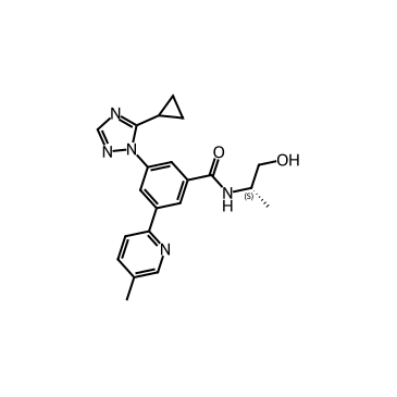 Cc1ccc(-c2cc(C(=O)N[C@@H](C)CO)cc(-n3ncnc3C3CC3)c2)nc1